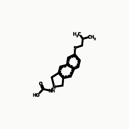 CC(C)CSc1ccc2cc3c(cc2c1)CN(NC(=O)O)C3